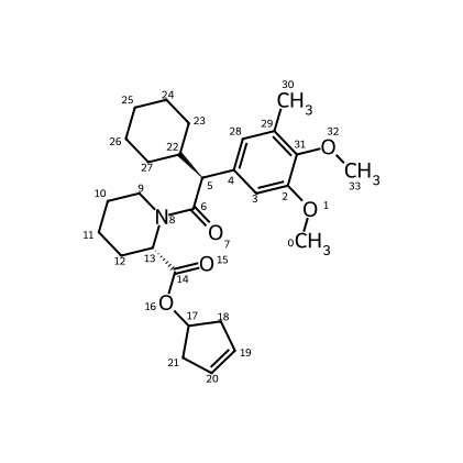 COc1cc([C@@H](C(=O)N2CCCC[C@H]2C(=O)OC2CC=CC2)C2CCCCC2)cc(C)c1OC